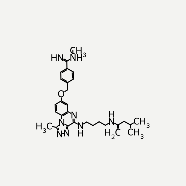 C=C(CC(C)C)NCCCCNc1nc2cc(OCc3ccc(C(=N)NC)cc3)ccc2n2c(C)nnc12